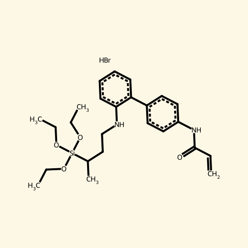 Br.C=CC(=O)Nc1ccc(-c2ccccc2NCCC(C)[Si](OCC)(OCC)OCC)cc1